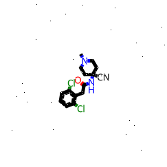 CN1CCC(C#N)(NC(=O)Cc2c(Cl)cccc2Cl)CC1